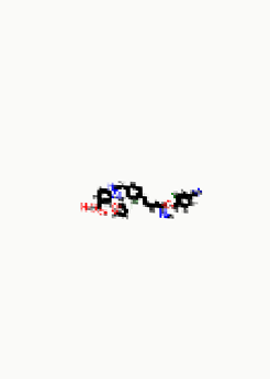 C=N/C(=C\C=C/Cc1ccc(Cc2nc3ccc(C(=O)O)cc3n2C[C@@H]2CCCO2)cc1F)OCc1ccc(C#N)cc1F